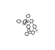 CC1(C)c2ccc(-c3ccccc3-c3ccccc3-c3nc(-c4ccccc4)cc(-c4ccccc4)n3)cc2-c2c1ccc1c2oc2ccccc21